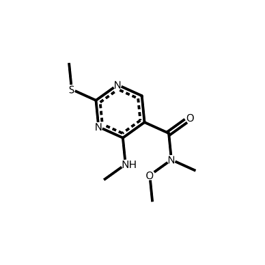 CNc1nc(SC)ncc1C(=O)N(C)OC